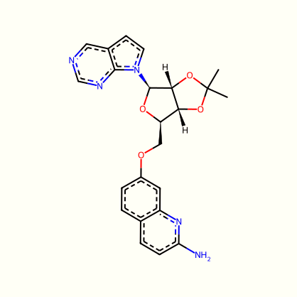 CC1(C)O[C@@H]2[C@H](O1)[C@@H](COc1ccc3ccc(N)nc3c1)O[C@H]2n1ccc2cncnc21